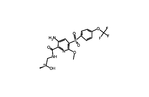 COc1nc(C(=O)NC[C@H](C)O)c(N)cc1S(=O)(=O)c1ccc(OC(F)(F)F)cc1